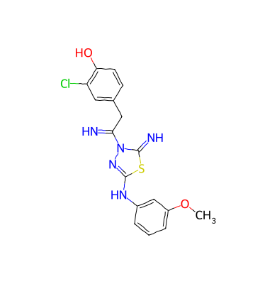 COc1cccc(Nc2nn(C(=N)Cc3ccc(O)c(Cl)c3)c(=N)s2)c1